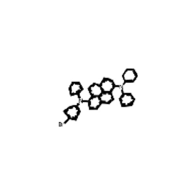 Brc1ccc(N(c2ccccc2)c2ccc3ccc4c(N(C5=CC=CCC5)c5ccccc5)ccc5ccc2c3c54)cc1